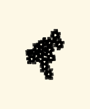 CC12c3ccccc3-c3cccc(c31)N(c1cccc3sc4cc(N(c5ccccc5)c5ccccc5)ccc4c13)c1cc3c(c(-c4ccc5cc(-c6ccccc6)ccc5c4)c12)Sc1ccccc1C31c2ccccc2-c2ccccc21